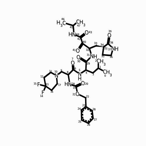 CC(C)CC(NC(=O)C(CN1CCC(F)(F)CC1)NC(=O)OCc1ccccc1)C(=O)NC(C[C@@H]1CCNC1=O)C(=O)C(=O)NC(C)C